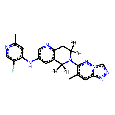 [2H]C1([2H])Cc2ncc(Nc3cc(C)ncc3F)cc2C([2H])([2H])N1c1nn2cnnc2cc1C